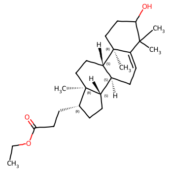 CCOC(=O)CC[C@H]1CC[C@H]2[C@@H]3CC=C4C(C)(C)C(O)CC[C@]4(C)[C@H]3CC[C@]12C